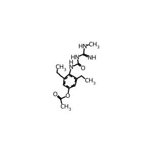 CCc1cc(OC(C)=O)cc(CC)c1NC(=O)NC(=N)NC